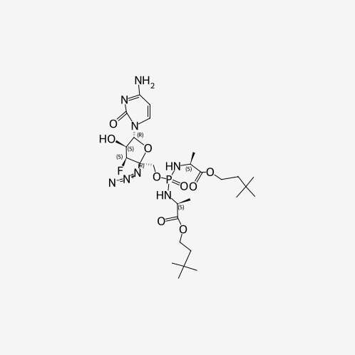 C[C@H](NP(=O)(N[C@@H](C)C(=O)OCCC(C)(C)C)OC[C@@]1(N=[N+]=[N-])O[C@@H](n2ccc(N)nc2=O)[C@H](O)[C@@H]1F)C(=O)OCCC(C)(C)C